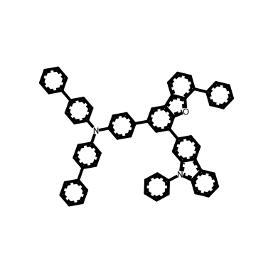 c1ccc(-c2ccc(N(c3ccc(-c4ccccc4)cc3)c3ccc(-c4cc(-c5ccc6c7ccccc7n(-c7ccccc7)c6c5)c5oc6c(-c7ccccc7)cccc6c5c4)cc3)cc2)cc1